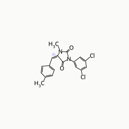 Cc1ccc(/C=C2\C(=O)N(c3cc(Cl)cc(Cl)c3)C(=O)N2C)cc1